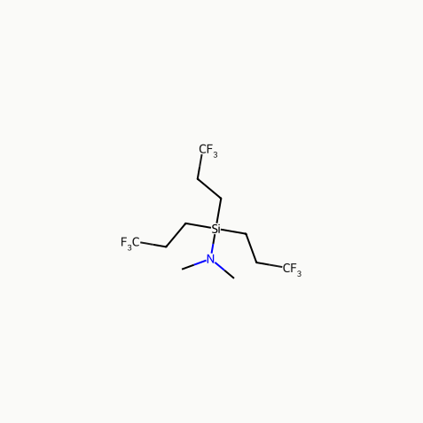 CN(C)[Si](CCC(F)(F)F)(CCC(F)(F)F)CCC(F)(F)F